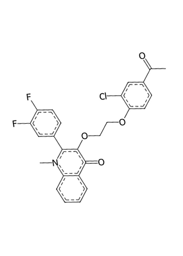 CC(=O)c1ccc(OCCOc2c(-c3ccc(F)c(F)c3)n(C)c3ccccc3c2=O)c(Cl)c1